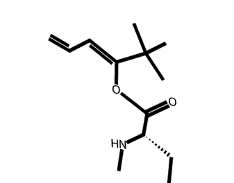 C=C/C=C(\OC(=O)[C@H](CC(C)C)NC)C(C)(C)C